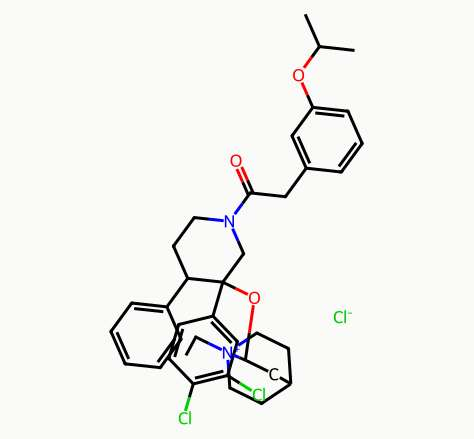 CC[N+]12CCC(CC1)CC2OC1(c2ccc(Cl)c(Cl)c2)CN(C(=O)Cc2cccc(OC(C)C)c2)CCC1c1ccccc1.[Cl-]